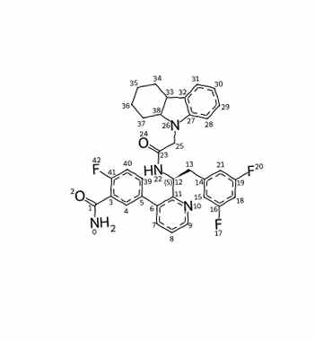 NC(=O)c1cc(-c2cccnc2[C@H](Cc2cc(F)cc(F)c2)NC(=O)CN2c3ccccc3C3CCCCC32)ccc1F